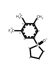 Cc1cc(P2(=O)CCCC2)cc(C(F)(F)F)c1C